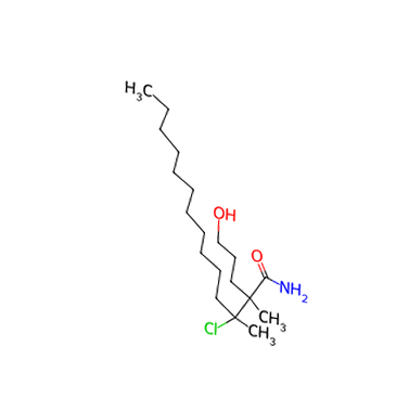 CCCCCCCCCCCC(C)(Cl)C(C)(CCCO)C(N)=O